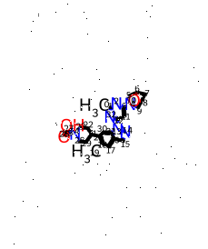 Cc1nc(N2CC3CC(C2)O3)cc(-n2ncc3cc(C)c(C4CCN(C(=O)O)CC4)cc32)n1